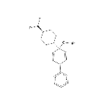 CCCOC1([C@H]2CC[C@H](C(F)F)CC2)C=CC(c2ccccc2)C=C1